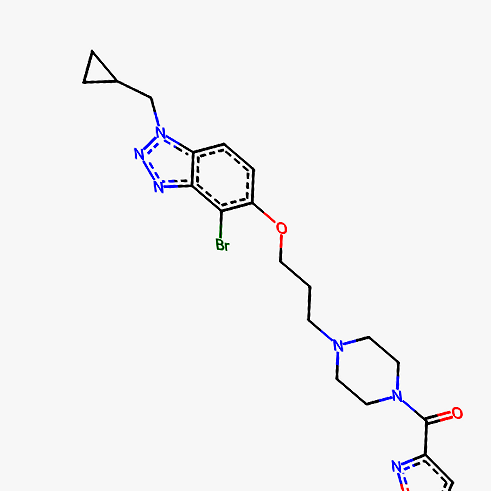 O=C(c1ccon1)N1CCN(CCCOc2ccc3c(nnn3CC3CC3)c2Br)CC1